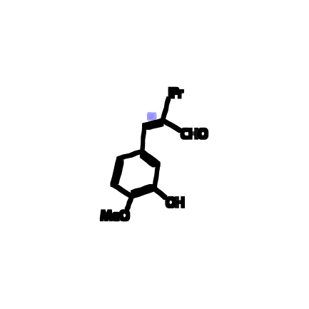 COc1ccc(/C=C(\C=O)C(C)C)cc1O